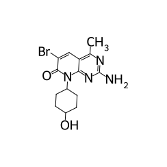 Cc1nc(N)nc2c1cc(Br)c(=O)n2C1CCC(O)CC1